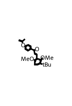 C=C(C)Oc1ccc(C(=O)C=Cc2c(OC)ccc(C(C)(C)C)c2OC)cc1